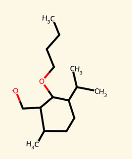 CCCCOC1C(C(C)C)CCC(C)C1C[O]